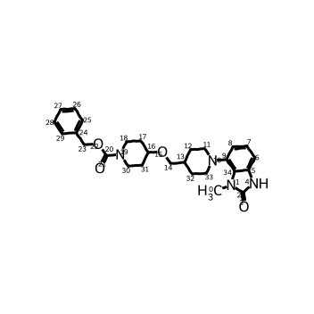 Cn1c(=O)[nH]c2cccc(N3CCC(COC4CCN(C(=O)OCc5ccccc5)CC4)CC3)c21